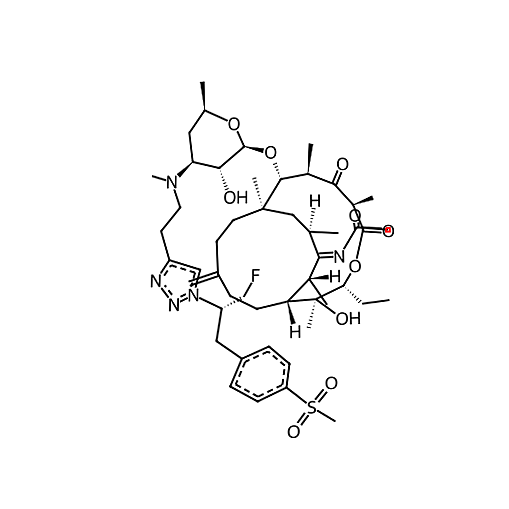 C=C1CC[C@@H]2[C@@H](C)/C(=N/C(C)=O)[C@H](C)C[C@@](C)(CC1)[C@H](O[C@@H]1O[C@H](C)C[C@H](N(C)CCc3cn([C@H](CF)Cc4ccc(S(C)(=O)=O)cc4)nn3)[C@H]1O)[C@@H](C)C(=O)[C@@H](C)C(=O)O[C@H](CC)[C@@]2(C)O